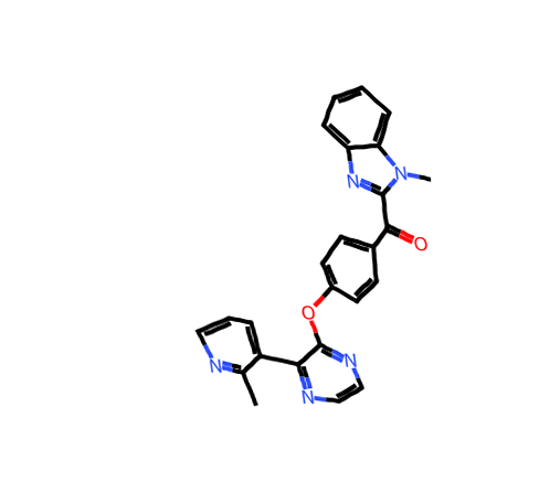 Cc1ncccc1-c1nccnc1Oc1ccc(C(=O)c2nc3ccccc3n2C)cc1